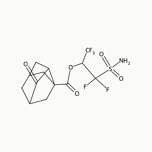 NS(=O)(=O)C(F)(F)C(OC(=O)C12CC3CC(C1)C(=O)C2C3)C(F)(F)F